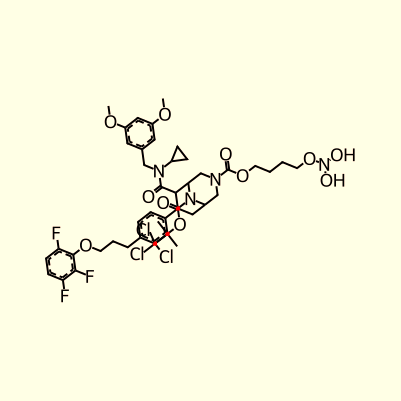 COc1cc(CN(C(=O)C2C(c3ccc(CCCOc4c(F)ccc(F)c4F)cc3)CC3CN(C(=O)OCCCCON(O)O)CC2N3C(=O)OC(C)(C)C(Cl)(Cl)Cl)C2CC2)cc(OC)c1